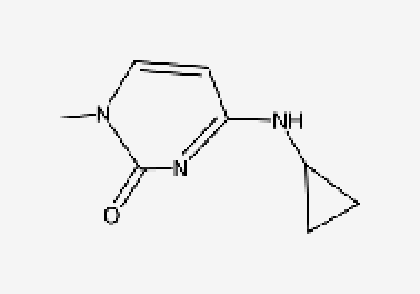 Cn1ccc(NC2CC2)nc1=O